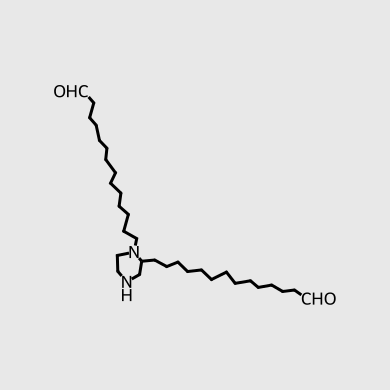 O=CCCCCCCCCCCCCCC1CNCCN1CCCCCCCCCCCCCC=O